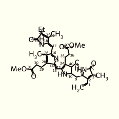 C=CC1=C(C)C(=O)N[C@@H]1CC1NC(/C=C2N=C(/C=C3\NC(=O)C(CC)=C3C)C(C)=C\2CCC(=O)OC)=C(CCC(=O)OC)C1C